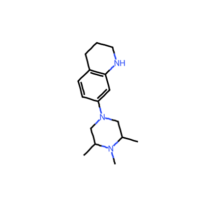 CC1CN(c2ccc3c(c2)NCCC3)CC(C)N1C